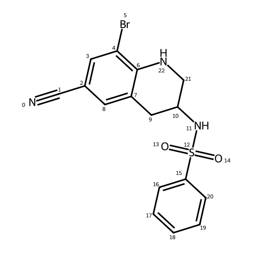 N#Cc1cc(Br)c2c(c1)CC(NS(=O)(=O)c1ccccc1)CN2